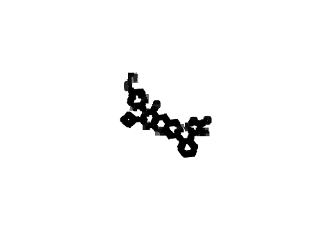 CCCCc1nc(C2CCC2)n(-c2ncc(OCC)cn2)c(=O)c1Cc1ccc(-c2ccccc2-c2noc(=O)[nH]2)nc1